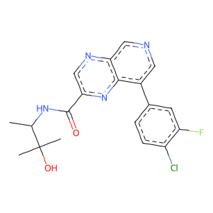 CC(NC(=O)c1cnc2cncc(-c3ccc(Cl)c(F)c3)c2n1)C(C)(C)O